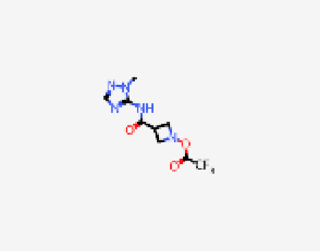 Cn1ncnc1NC(=O)C1CN(OC(=O)C(F)(F)F)C1